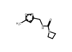 Cc1cc(CNC(=O)N2CCC2)no1